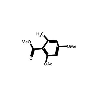 COC(=O)c1c(C)cc(OC)cc1OC(C)=O